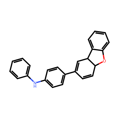 C1=CC2Oc3ccccc3C2C=C1c1ccc(Nc2ccccc2)cc1